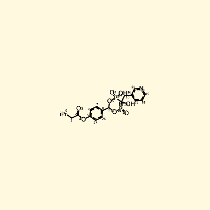 CC(C)CC(=O)Oc1ccc(C2O[PH](=O)C(O)(Cc3cccnc3)P(=O)(O)O2)cc1